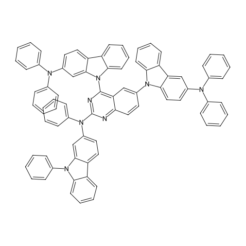 c1ccc(N(c2ccccc2)c2ccc3c(c2)c2ccccc2n3-c2ccc3nc(N(c4ccccc4)c4ccc5c6ccccc6n(-c6ccccc6)c5c4)nc(-n4c5ccccc5c5ccc(N(c6ccccc6)c6ccccc6)cc54)c3c2)cc1